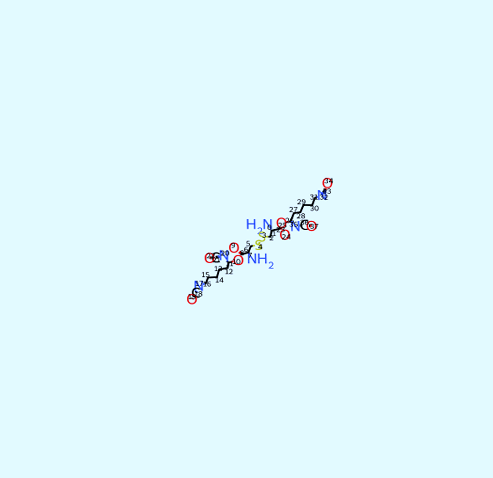 N[C@@H](CSSC[C@H](N)C(=O)OC(CCCCCN=C=O)N=C=O)C(=O)OC(CCCCCN=C=O)N=C=O